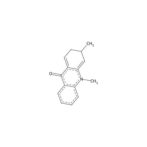 CC1C=c2c(c(=O)c3ccccc3n2C)=CC1